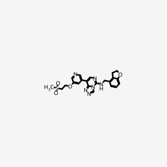 CS(=O)(=O)CCOc1cncc(-c2cnc(NCc3cccc4c3CCO4)n3cnnc23)c1